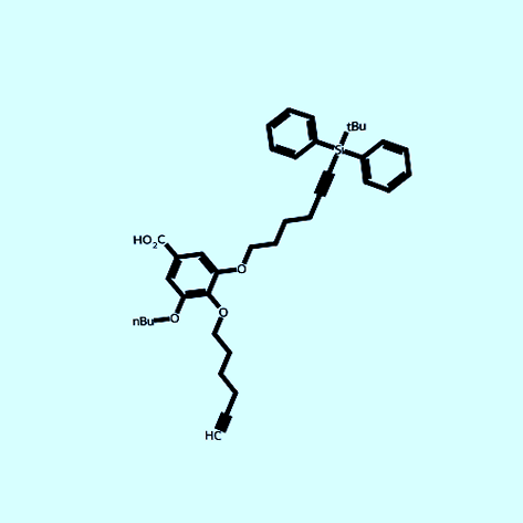 C#CCCCCOc1c(OCCCC)cc(C(=O)O)cc1OCCCCC#C[Si](c1ccccc1)(c1ccccc1)C(C)(C)C